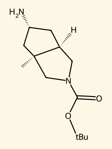 CC(C)(C)OC(=O)N1C[C@@H]2C[C@@H](N)C[C@]2(C)C1